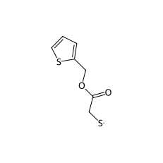 O=C(C[S])OCc1cccs1